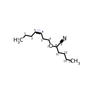 CCC/C=C\CCOC(C#N)CCCC